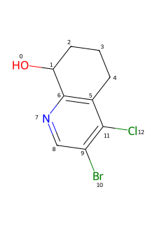 OC1CCCc2c1ncc(Br)c2Cl